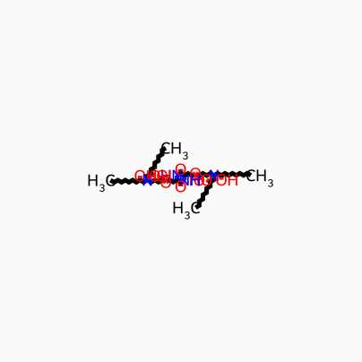 CCCCCCCCC(O)CN(CCCC(=O)OCCC1NC(=O)C(CCOC(=O)CCCN(CC(O)CCCCCCCC)CC(O)CCCCCCCC)NC1=O)CC(O)CCCCCCCC